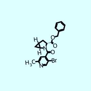 Cc1cc(C(=O)N2[C@@H](C(=O)OCc3ccccc3)C[C@H]3C[C@H]32)c(Br)cn1